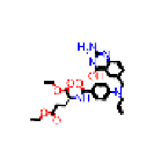 C=CCN(Cc1ccc2nc(N)nc(O)c2c1)c1ccc(C(=O)N[C@@H](CCC(=O)OCC)C(=O)OCC)cc1